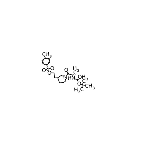 Cc1ccc(S(=O)(=O)OCCC2CCCN(C(=O)C(C)NC(=O)OC(C)(C)C)C2)cc1